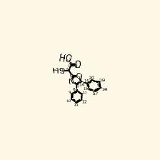 O=C(O)C(S)c1nc(-c2ccccc2)c(-c2ccccc2)o1